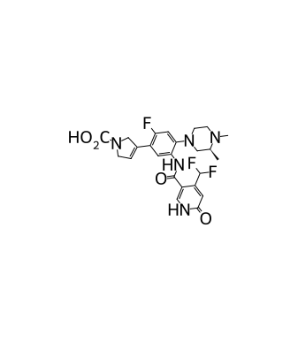 C[C@H]1CN(c2cc(F)c(C3=CCN(C(=O)O)C3)cc2NC(=O)c2c[nH]c(=O)cc2C(F)F)CCN1C